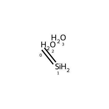 C=[SiH2].O.O